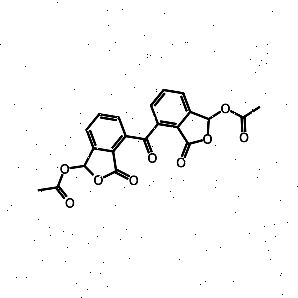 CC(=O)OC1OC(=O)c2c(C(=O)c3cccc4c3C(=O)OC4OC(C)=O)cccc21